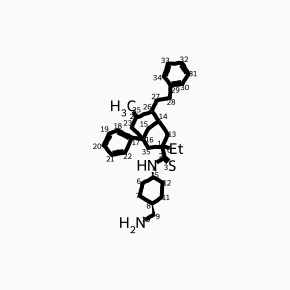 CCC1(C(=S)N[C@H]2CC[C@H](CN)CC2)CC2CC(c3ccccc3)(CC(C)C2CCc2ccccc2)C1